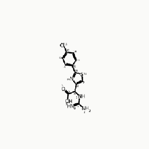 N=C(N)NC(C(=O)O)c1csc(-c2ccc(Cl)cc2)n1